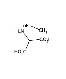 CCCC.NC(C(=O)O)C(=O)O